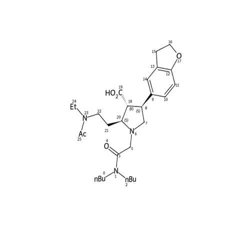 CCCCN(CCCC)C(=O)CN1C[C@H](c2ccc3c(c2)CCO3)[C@@H](C(=O)O)[C@@H]1CCN(CC)C(C)=O